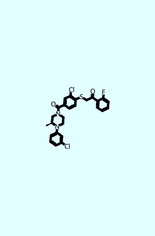 C[C@H]1CN(C(=O)c2ccc(SCC(=O)c3ccccc3F)c(Cl)c2)CCN1c1cccc(Cl)c1